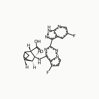 O=C(O)[C@@H]1[C@@H](Nc2nc(-c3n[nH]c4ncc(F)cc34)nn3ccc(F)c23)[C@@H]2CC[C@]13C[C@@H]2C3